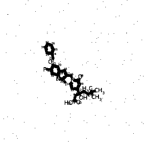 CC(C)(C)CCC(O)(CC(=O)O)c1ccn(Cc2cc3cc(OCc4ccccc4)c(F)cc3nc2I)c(=O)c1